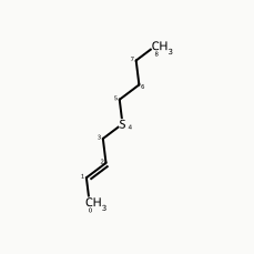 C/C=C/CSCCCC